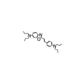 CCCN(CCC)c1ccc(C=Cc2nc3ccc(N(CCC)CCC)cc3o2)cc1